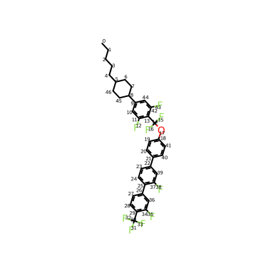 CCCCCC1CCC(c2cc(F)c(C(F)(F)Oc3ccc(-c4ccc(-c5ccc(C(F)(F)F)c(F)c5)c(F)c4)cc3)c(F)c2)CC1